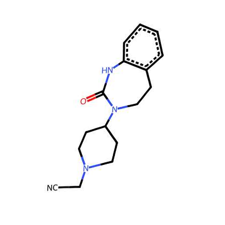 N#CCN1CCC(N2CCc3ccccc3NC2=O)CC1